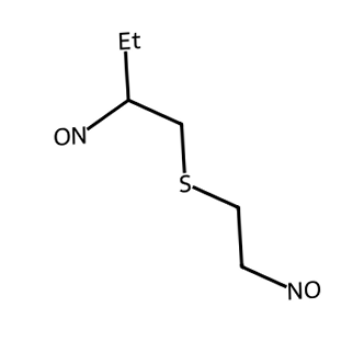 CCC(CSCCN=O)N=O